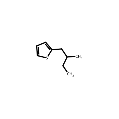 CCC(C)Cc1cccs1